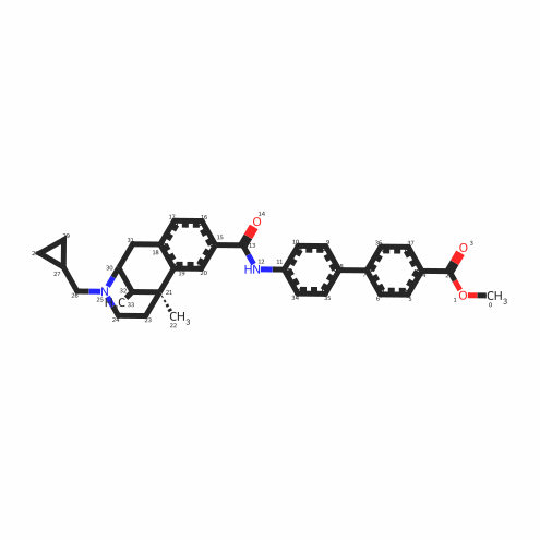 COC(=O)c1ccc(-c2ccc(NC(=O)c3ccc4c(c3)[C@@]3(C)CCN(CC5CC5)C(C4)C3C)cc2)cc1